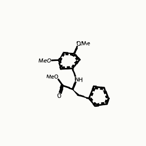 COC(=O)[C@H](Cc1ccccc1)Nc1cc(OC)cc(OC)c1